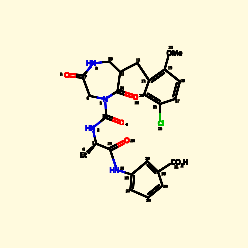 CC[C@@H](NC(=O)N1CC(=O)NCC(Cc2cc(Cl)ccc2OC)C1=O)C(=O)Nc1cccc(C(=O)O)c1